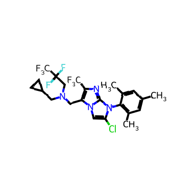 Cc1cc(C)c(-n2c(Cl)cn3c(CN(CC4CC4)CC(F)(F)C(F)(F)F)c(C(F)(F)F)nc23)c(C)c1